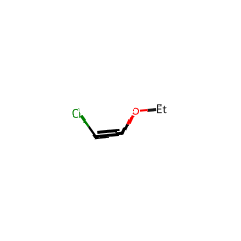 CCO/C=C\Cl